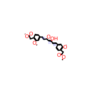 COC(=O)Cc1ccc(/C=C/C(=O)/C=C(O)/C=C/c2ccc(CC(=O)OC)c(OC)c2)cc1OC